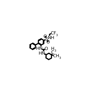 CC1(C)CCCC(NC(=O)Nc2cc(S(=O)(=O)NCC(F)(F)F)ccc2-c2ccccc2)C1